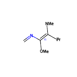 C=N/C(OC)=C(\NC)C(C)C